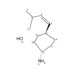 CC(C)/C=C\[C@H]1CC[C@H](N)CC1.Cl